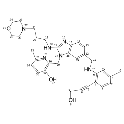 Cc1ccc(C#CCO)c(NCc2ccc3nc(NCCCN4CCOCC4)n(Cc4nc(C)ccc4O)c3c2)c1